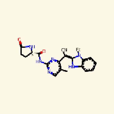 CCN1C(=C(C#N)c2nc(NC(=O)[C@@H]3CCC(=O)N3)ncc2C)Nc2ccccc21